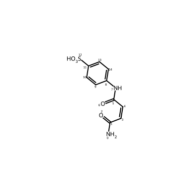 NC(=O)/C=C\C(=O)Nc1ccc(S(=O)(=O)O)cc1